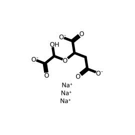 O=C([O-])CC(OC(O)C(=O)[O-])C(=O)[O-].[Na+].[Na+].[Na+]